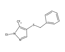 CCn1ncc(SCc2ccccc2)c1C(F)(F)F